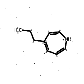 [CH2]CCC1=CC=CNC=C1